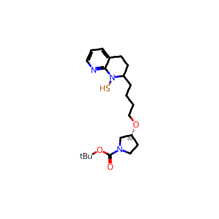 CC(C)(C)OC(=O)N1CC[C@@H](OCCCCC2CCc3cccnc3N2S)C1